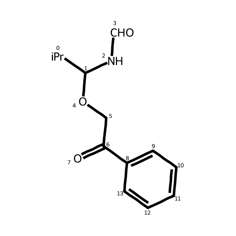 CC(C)C(NC=O)OCC(=O)c1ccccc1